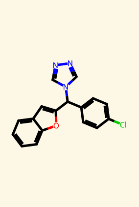 Clc1ccc(C(c2cc3ccccc3o2)n2cnnc2)cc1